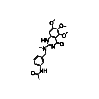 COc1cc2[nH]c(N(C)Cc3cccc(NC(C)=O)c3)nc(=O)c2c(OC)c1OC